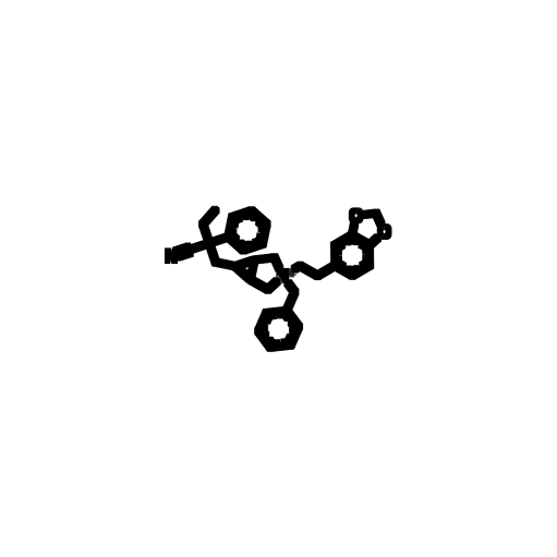 CCC(C#N)(CC1C2C[N+](CCc3ccc4c(c3)OCO4)(Cc3ccccc3)CC12)c1ccccc1